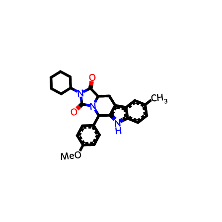 COc1ccc(C2c3[nH]c4ccc(C)cc4c3CC3C(=O)N(C4CCCCC4)C(=O)N32)cc1